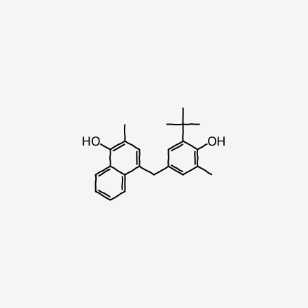 Cc1cc(Cc2cc(C)c(O)c3ccccc23)cc(C(C)(C)C)c1O